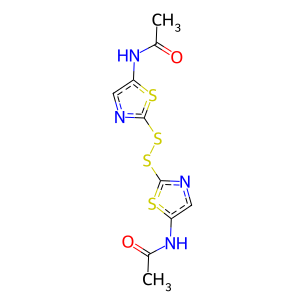 CC(=O)Nc1cnc(SSc2ncc(NC(C)=O)s2)s1